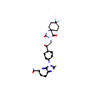 Cc1nc2ccc(C(N)=O)nc2n1-c1ccc(C(=O)CN2C(=O)NC3(CCC(F)(F)CC3)C2=O)cc1